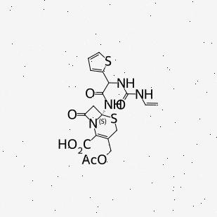 C=CNC(=O)NC(C(=O)N[C@@]12CC(=O)N1C(C(=O)O)=C(COC(C)=O)CS2)c1cccs1